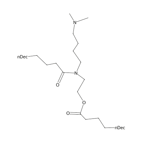 CCCCCCCCCCCCCC(=O)OCCN(CCCCN(C)C)C(=O)CCCCCCCCCCCCC